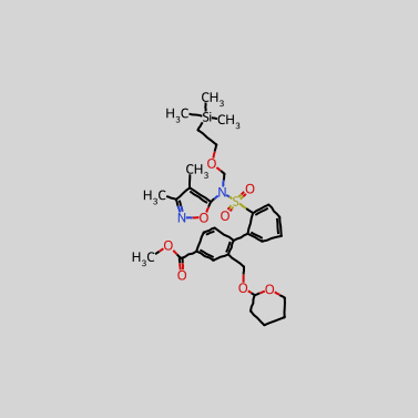 COC(=O)c1ccc(-c2ccccc2S(=O)(=O)N(COCC[Si](C)(C)C)c2onc(C)c2C)c(COC2CCCCO2)c1